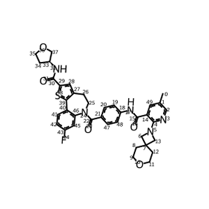 Cc1cnc(N2CC3(CCOCC3)C2)c(C(=O)Nc2ccc(C(=O)N3CCc4cc(C(=O)N[C@H]5CCOC5)sc4-c4ccc(F)cc43)cc2)c1